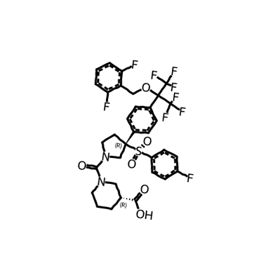 O=C(O)[C@@H]1CCCN(C(=O)N2CC[C@](c3ccc(C(OCc4c(F)cccc4F)(C(F)(F)F)C(F)(F)F)cc3)(S(=O)(=O)c3ccc(F)cc3)C2)C1